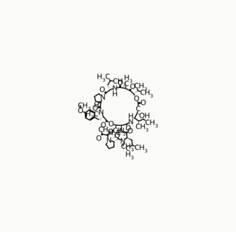 CC[C@H](C)[C@@H]1NC(=O)[C@@H](N(C)C(=O)[C@@H](CC(C)C)N(C)C(=O)[C@@H]2CCCN2C(=O)C(C)=O)[C@@H](C)OC(=O)[C@H](Cc2ccc(OC)cc2)N(C)C(=O)[C@@H]2CCCN2C(=O)[C@H](CC(C)C)NC(=O)[C@@H](C)C(=O)[C@H](C(C)C)OC(=O)C[C@@H]1O